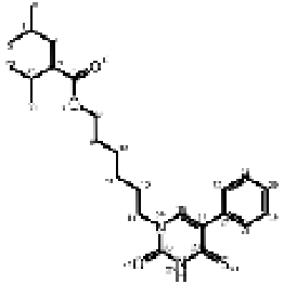 CC(C)CC(C(=O)OCCCCCCn1cc(-c2ccccc2)c(=S)[nH]c1=O)C(C)C